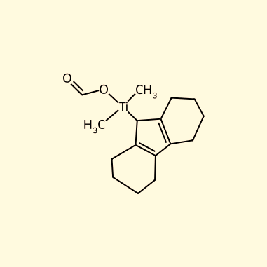 [CH3][Ti]([CH3])([O]C=O)[CH]1C2=C(CCCC2)C2=C1CCCC2